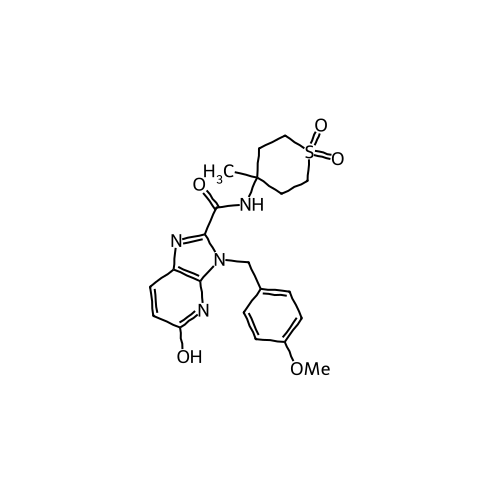 COc1ccc(Cn2c(C(=O)NC3(C)CCS(=O)(=O)CC3)nc3ccc(O)nc32)cc1